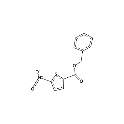 O=C(OCc1ccccc1)c1ccc([N+](=O)[O-])s1